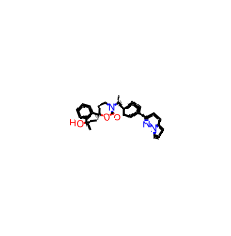 C[C@@H](c1ccc(-c2ccc3cccn3n2)cc1)N1CC[C@](CC(C)(C)O)(c2ccccc2)OC1=O